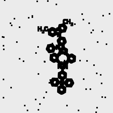 Cc1ccc2c(c1)c1cc(C)ccc1n2-c1ccc2c3cc4cc(c5ccccc5c5nc(-c6ccc([Si](c7ccccc7)(c7ccccc7)c7ccccc7)cc6)nc(n5)c5ccccc45)c3n(-c3ccccc3)c2c1